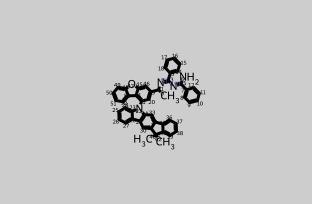 CC(/N=C(\N=C(/N)c1ccccc1)c1ccccc1)c1cc(-n2c3ccccc3c3cc4c(cc32)-c2ccccc2C4(C)C)c2c(c1)oc1ccccc12